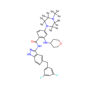 [2H]C([2H])([2H])N1C([2H])([2H])C([2H])([2H])N(c2ccc(C(=O)Nc3n[nH]c4ccc(Cc5cc(F)cc(F)c5)cc34)c(NC3CCOCC3)c2)C([2H])([2H])C1([2H])[2H]